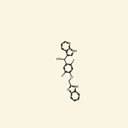 OC(c1cc(F)c(OCc2nc3ccccc3[nH]2)cc1F)c1c[nH]c2ncccc12